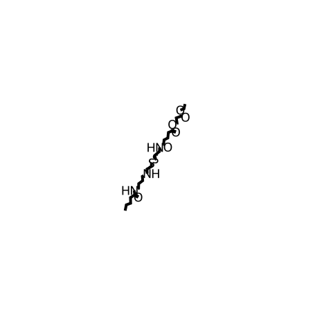 CCCCC(=O)NCCCCNCCSSCCNC(=O)CCCC(=O)OCCC(=O)OCC